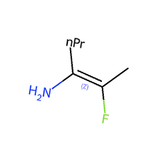 CCC/C(N)=C(\C)F